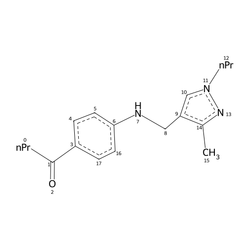 CCCC(=O)c1ccc(NCc2cn(CCC)nc2C)cc1